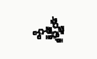 Cc1nc2ccc(-n3ncnc3[C@H]3C[C@@H](n4cc(-c5ccc(Cl)c(Cl)c5)nn4)[C@@H](O)[C@@H](CO)O3)cc2s1